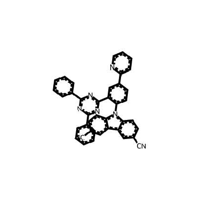 N#Cc1ccc2c(c1)c1cc(C#N)ccc1n2-c1ccc(-c2ccccn2)cc1-c1nc(-c2ccccc2)nc(-c2ccccc2)n1